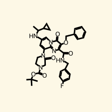 CC(Nc1cc(N2CCN(C(=O)OC(C)(C)C)CC2=O)c2nc(C(=O)NCc3ccc(F)cc3)c(OCc3ccccc3)c(=O)n2c1)C1CC1